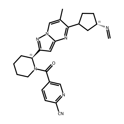 C=N[C@H]1CCC(c2nc3cc([C@@H]4CCCCN4C(=O)c4ccc(C#N)nc4)nn3cc2C)C1